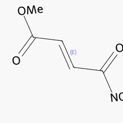 COC(=O)/C=C/C(=O)N=O